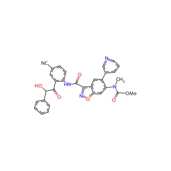 COC(=O)N(C)c1cc2onc(C(=O)Nc3ccc(C#N)cc3C(=O)C(O)c3ccccc3)c2cc1-c1cccnc1